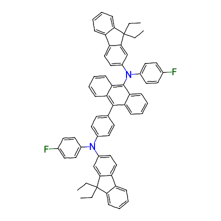 CCC1(CC)c2ccccc2-c2ccc(N(c3ccc(F)cc3)c3ccc(-c4c5ccccc5c(N(c5ccc(F)cc5)c5ccc6c(c5)C(CC)(CC)c5ccccc5-6)c5ccccc45)cc3)cc21